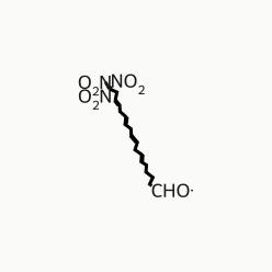 O=[C]CCCCC=CCC=CCC=CCC=CCC([N+](=O)[O-])([N+](=O)[O-])[N+](=O)[O-]